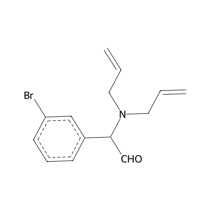 C=CCN(CC=C)C(C=O)c1cccc(Br)c1